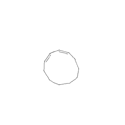 C1=C\CCCCCCC\C=C/1